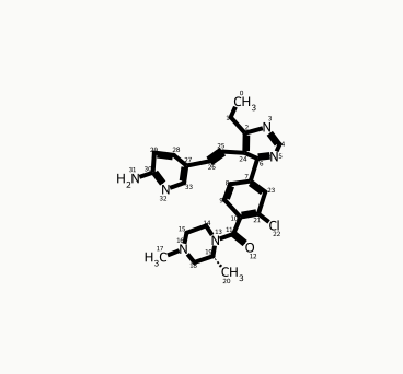 CCc1ncnc(-c2ccc(C(=O)N3CCN(C)C[C@H]3C)c(Cl)c2)c1C#Cc1ccc(N)nc1